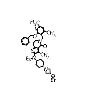 CCOC1CN([C@H]2CC[C@H](N(CC)c3sc4c(c3C)C(=O)N(Cc3c(C)cc(C)nc3OCc3ccccc3)CC4)CC2)C1